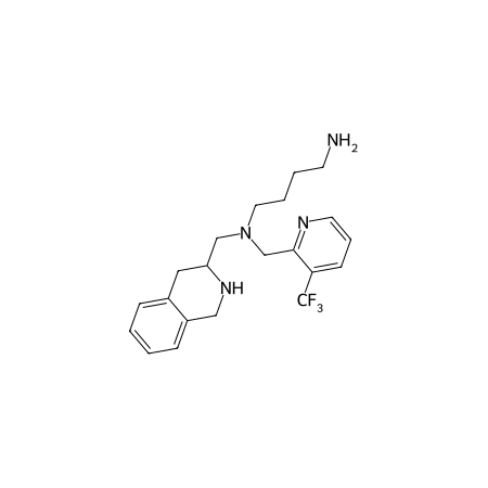 NCCCCN(Cc1ncccc1C(F)(F)F)CC1Cc2ccccc2CN1